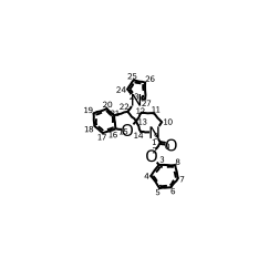 O=C(Oc1ccccc1)N1CCCC2(C1)Oc1ccccc1C2n1cccc1